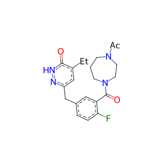 CCc1cc(Cc2ccc(F)c(C(=O)N3CCCN(C(C)=O)CC3)c2)n[nH]c1=O